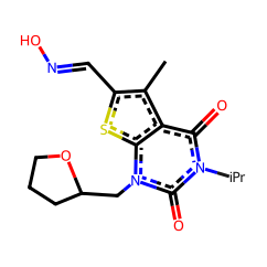 Cc1c(C=NO)sc2c1c(=O)n(C(C)C)c(=O)n2CC1CCCO1